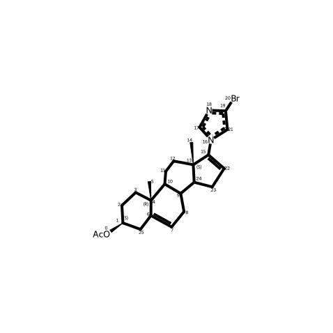 CC(=O)O[C@H]1CC[C@@]2(C)C(=CCC3C2CC[C@]2(C)C(n4cnc(Br)c4)=CCC32)C1